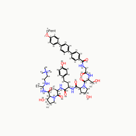 CCCCCOc1ccc(-c2ccc(-c3ccc(C(=O)NCC(=O)NC(C(=O)N4C[C@H](O)CC4C(=O)NC(CCc4ccc(O)cc4)C(=O)NC(CC)C(=O)N4C[C@H](C)[C@H](O)C4C(=O)NC(CC)NCC[N+](C)(C)C)[C@@H](C)O)cc3)cc2)cc1